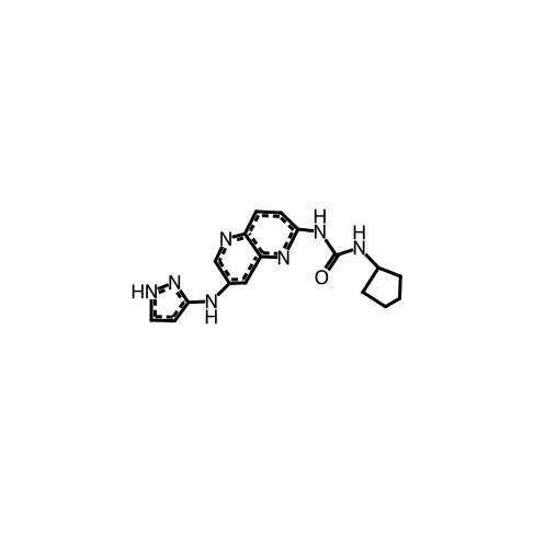 O=C(Nc1ccc2ncc(Nc3cc[nH]n3)cc2n1)NC1CCCC1